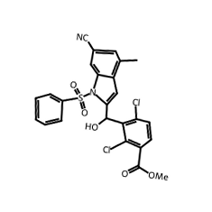 COC(=O)c1ccc(Cl)c(C(O)c2cc3c(C)cc(C#N)cc3n2S(=O)(=O)c2ccccc2)c1Cl